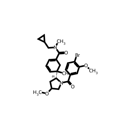 COc1cc(C(=O)N2CC(OC)C[C@@H]2C2(C)C=CC=C(C(=O)N(C)CC3CC3)C2)ccc1Br